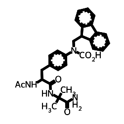 CC(=O)NC(Cc1ccc(N(CC2c3ccccc3-c3ccccc32)C(=O)O)cc1)C(=O)NC(C)(C)C(N)=O